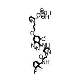 COc1cc(OCCCN2CCC[C@@H]2COP(=O)(O)O)cc2ncnc(Nc3cnn(CC(=O)Nc4cccc(F)c4F)c3)c12